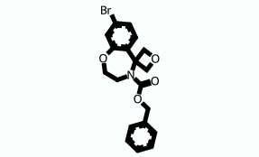 O=C(OCc1ccccc1)N1CCOc2cc(Br)ccc2C12COC2